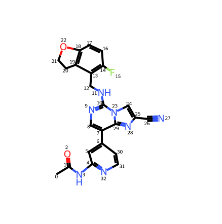 CC(=O)Nc1cc(-c2cnc(NCc3c(F)ccc4c3CCO4)n3cc(C#N)nc23)ccn1